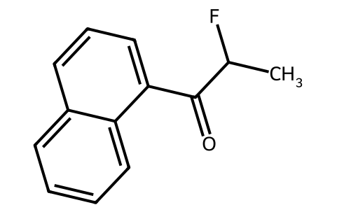 CC(F)C(=O)c1cccc2ccccc12